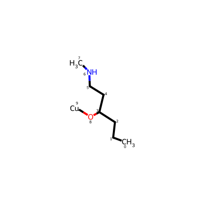 CCCC(CCNC)[O][Cu]